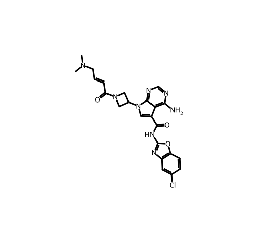 CN(C)CC=CC(=O)N1CC(n2cc(C(=O)Nc3nc4cc(Cl)ccc4o3)c3c(N)ncnc32)C1